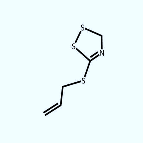 C=CCSC1=NCSS1